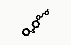 COCCOc1ccc(Sc2ccccc2)cc1